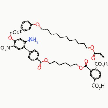 C=CC(=O)OCCCCCCCCCCCOc1ccccc1.CCCCCCCCOc1cc(N)c(-c2ccc(C(=O)OCCCCCCOC(=O)c3cc(C(=O)O)ccc3C(=O)O)cc2)cc1[N+](=O)[O-]